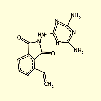 C=Cc1cccc2c1C(=O)N(Nc1nc(N)nc(N)n1)C2=O